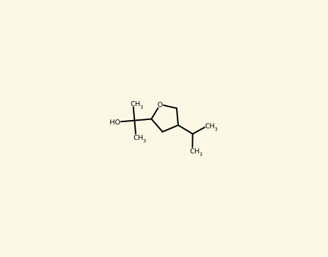 CC(C)C1COC(C(C)(C)O)C1